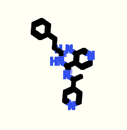 CC(/N=C(/NCCCc1ccccc1)c1ccncc1N)c1ccncc1